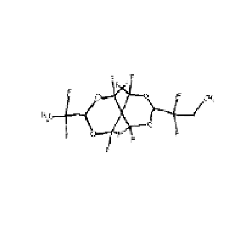 CCC(F)(F)C1OC(F)(F)C2(C(F)(F)OC(C(C)(F)F)OC2(F)F)C(F)(F)O1